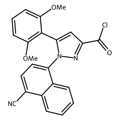 COc1cccc(OC)c1-c1cc(C(=O)Cl)nn1-c1ccc(C#N)c2ccccc12